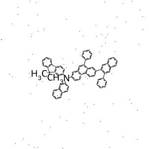 CC1(C)c2ccccc2-c2ccc(N(c3ccc4ccccc4c3)c3ccc4c(c3)cc(-c3ccccc3)c3cc(-c5cc6ccccc6cc5-c5ccccc5)ccc34)cc21